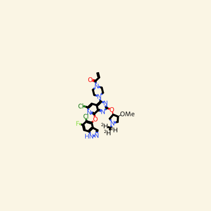 [2H]C([2H])([2H])N1C[C@@H](OC)[C@H](Oc2nc(N3CCN(C(=O)C=C)CC3)c3cc(Cl)nc(Oc4c(Cl)c(F)cc5[nH]ncc45)c3n2)C1